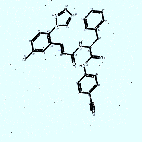 N#Cc1ccc(NC(=O)[C@H](Cc2ccccc2)NC(=O)/C=C/c2cc(Cl)ccc2-n2cnnn2)cc1